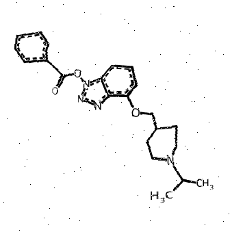 CC(C)N1CCC(COc2cccc3c2nnn3OC(=O)c2ccccc2)CC1